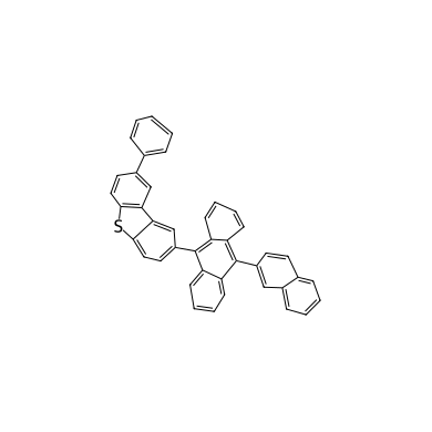 c1ccc(-c2ccc3sc4ccc(-c5c6ccccc6c(-c6ccc7ccccc7c6)c6ccccc56)cc4c3c2)cc1